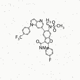 CNC(=O)c1c(-c2ccc(F)cc2)oc2cc(N(C)S(C)(=O)=O)c(-c3cnc4ccn(-c5ccc(C(F)(F)F)cc5)c4c3)cc12